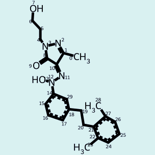 CC1=NN(CCCO)C(=O)C1=NN(O)c1cccc(CCc2c(C)cccc2C)c1